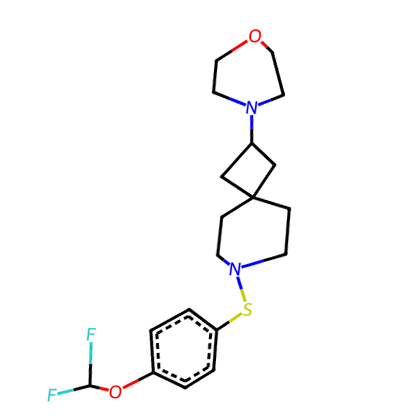 FC(F)Oc1ccc(SN2CCC3(CC2)CC(N2CCOCC2)C3)cc1